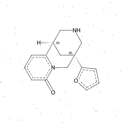 O=c1cccc2n1C[C@]1(c3ccco3)CNC[C@H]2C1